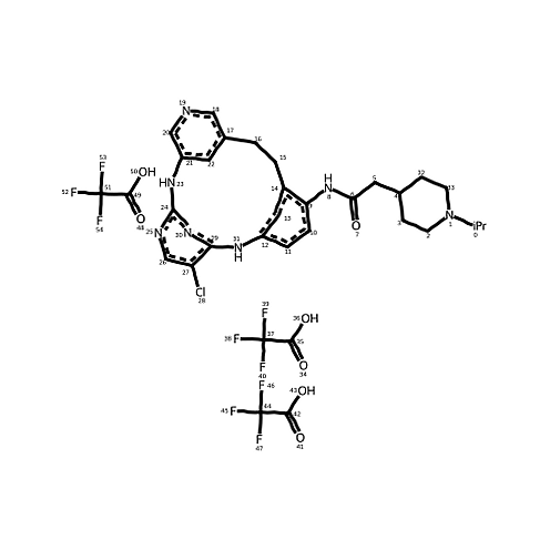 CC(C)N1CCC(CC(=O)Nc2ccc3cc2CCc2cncc(c2)Nc2ncc(Cl)c(n2)N3)CC1.O=C(O)C(F)(F)F.O=C(O)C(F)(F)F.O=C(O)C(F)(F)F